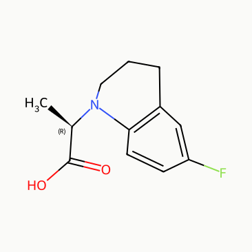 C[C@H](C(=O)O)N1CCCc2cc(F)ccc21